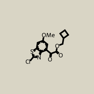 COc1cc(C(=O)C(=O)OCC2CCC2)c2nc(Cl)sc2c1